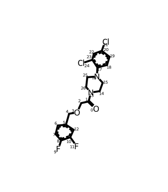 O=C(COCc1ccc(F)c(F)c1)N1CCN(c2ccc(Cl)cc2Cl)CC1